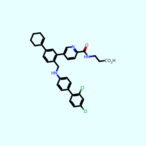 O=C(O)CCNC(=O)c1ccc(-c2cc(C3=CCCCC3)ccc2CNc2ccc(-c3ccc(Cl)cc3Cl)cc2)cn1